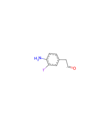 Nc1ccc(C[C]=O)cc1I